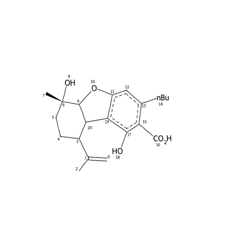 C=C(C)C1CC[C@](C)(O)C2Oc3cc(CCCC)c(C(=O)O)c(O)c3C12